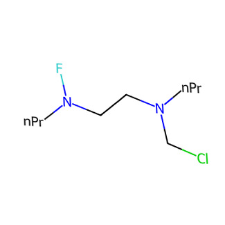 CCCN(F)CCN(CCl)CCC